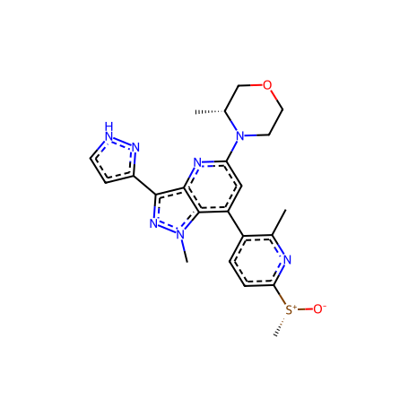 Cc1nc([S@@+](C)[O-])ccc1-c1cc(N2CCOC[C@H]2C)nc2c(-c3cc[nH]n3)nn(C)c12